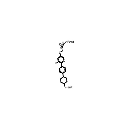 CCCCCC1CCC(c2ccc(-c3ncc(OC[C@@H]4O[C@H]4CCCCC)cc3F)cc2)CC1